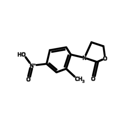 Cc1cc([N+](=O)O)ccc1N1CCOC1=O